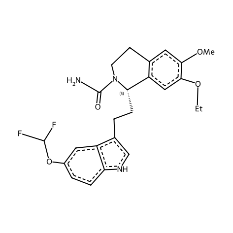 CCOc1cc2c(cc1OC)CCN(C(N)=O)[C@H]2CCc1c[nH]c2ccc(OC(F)F)cc12